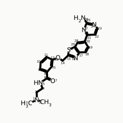 CN(C)CCNC(=O)c1cccc(OCc2nc3ccc(-c4ccnc(N)n4)cc3s2)c1